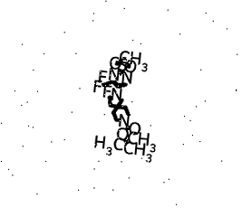 CC(C)(C)OC(=O)N1CCC2(CC1)CCN(c1cnc(S(C)(=O)=O)nc1C(F)(F)F)C2